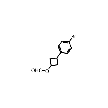 O=COC1CC(c2ccc(Br)cc2)C1